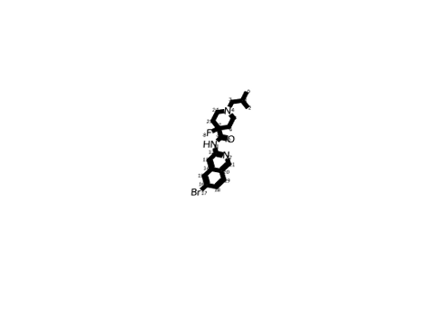 CC(C)CN1CCC(F)(C(=O)Nc2cc3cc(Br)ccc3cn2)CC1